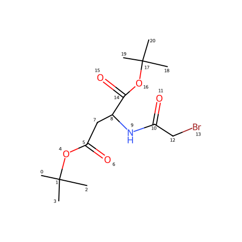 CC(C)(C)OC(=O)CC(NC(=O)CBr)C(=O)OC(C)(C)C